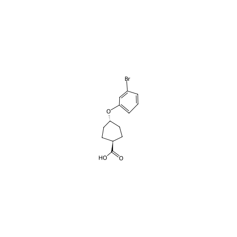 O=C(O)[C@H]1CC[C@H](Oc2cccc(Br)c2)CC1